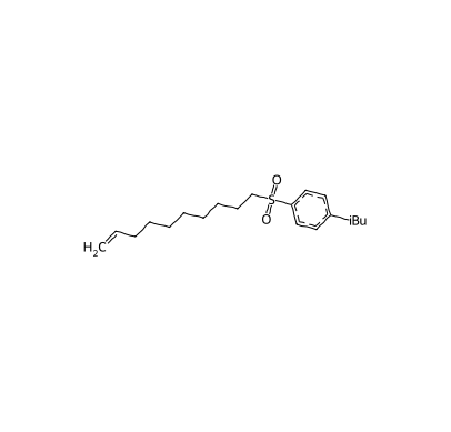 C=CCCCCCCCCS(=O)(=O)c1ccc(C(C)CC)cc1